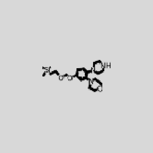 C[Si](C)(C)CCOCOc1ccc(N2CCNCC2)c(N2CCOCC2)c1